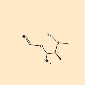 CC(C)N(I)[C@@H](C)C(N)OC=N